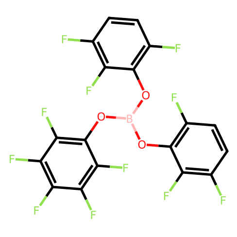 Fc1ccc(F)c(OB(Oc2c(F)ccc(F)c2F)Oc2c(F)c(F)c(F)c(F)c2F)c1F